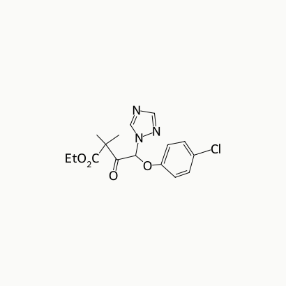 CCOC(=O)C(C)(C)C(=O)C(Oc1ccc(Cl)cc1)n1cncn1